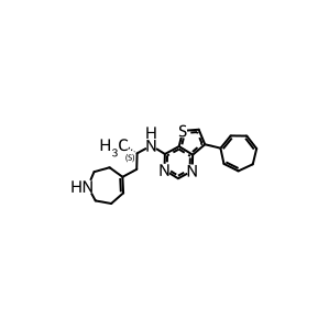 C[C@@H](CC1=CCCNCC1)Nc1ncnc2c(C3=CC=CCC=C3)csc12